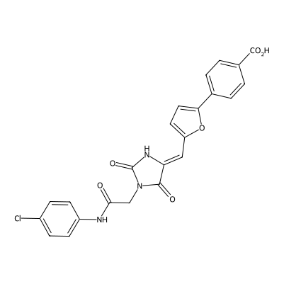 O=C(CN1C(=O)N/C(=C\c2ccc(-c3ccc(C(=O)O)cc3)o2)C1=O)Nc1ccc(Cl)cc1